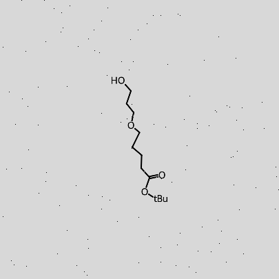 CC(C)(C)OC(=O)CCCCOCCCO